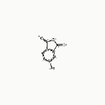 CC(=O)c1ccc2c(c1)C(=O)OC2=O